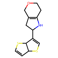 C1=CC2SC=C(C3CC4=C(CCOC4)N3)C2S1